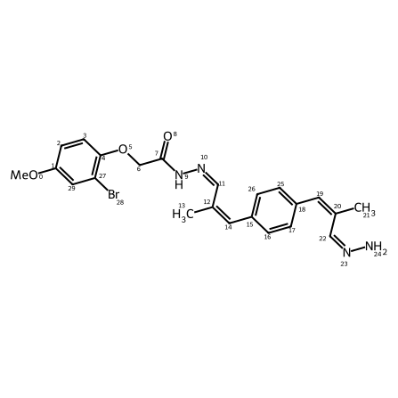 COc1ccc(OCC(=O)N/N=C\C(C)=C/c2ccc(/C=C(C)\C=N/N)cc2)c(Br)c1